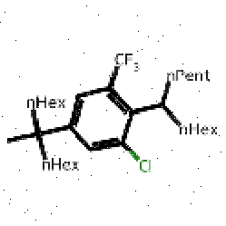 CCCCCCC(CCCCC)c1c(Cl)cc(C(C)(CCCCCC)CCCCCC)cc1C(F)(F)F